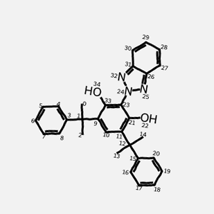 CC(C)(c1ccccc1)c1cc(C(C)(C)c2ccccc2)c(O)c(-n2nc3ccccc3n2)c1O